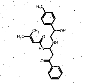 CC(C)=CC(=O)NC(CC(=O)c1ccccc1)NCC(O)c1ccc(C)cc1